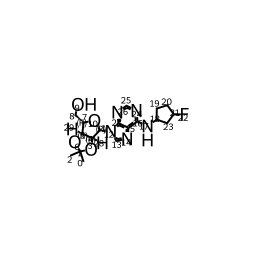 CC1(C)O[C@@H]2[C@H](O1)[C@@H](CO)O[C@H]2n1cnc2c(NC3CCC(F)C3)ncnc21